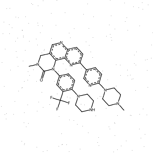 CN1CCN(c2ccc(-c3ccc4ncc5c(c4n3)N(c3ccc(N4CCNCC4)c(C(F)(F)F)c3)C(=O)N(C)C5)cn2)CC1